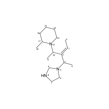 C/C=C(/C(C)N1CCNC1)C(C)N1CCCCC1C